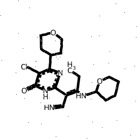 CC/C(NC1CCCCO1)=C(/C=N)c1nc(C2CCOCC2)c(Cl)c(=O)[nH]1